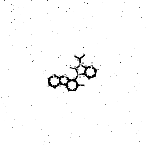 Cc1ccc2c(oc3ncccc32)c1N1c2cccnc2N(C(C)C)[C@@H]1C